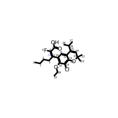 CCCC/C(=C(\F)C(=O)O)c1cc2c(c(Cl)c1OCC)OC(C)(C)C=C2C(C)C